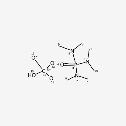 CN(C)P(=O)(N(C)C)N(C)C.[O-][Cl+3]([O-])([O-])O